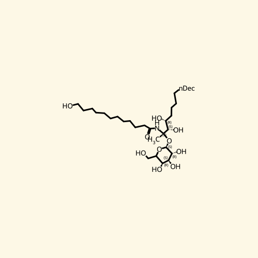 CCCCCCCCCCCCCC[C@@H](O)[C@H](O)[C@@](C)(NC(=O)CCCCCCCCCCCO)O[C@@H]1OC(CO)[C@H](O)[C@H](O)[C@H]1O